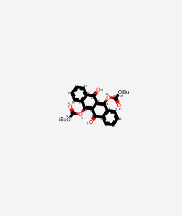 CC(C)COC(=O)OC1=C2C(=O)c3ccccc3C(OC(=O)OCC(C)C)=C2C(=O)c2ccccc21